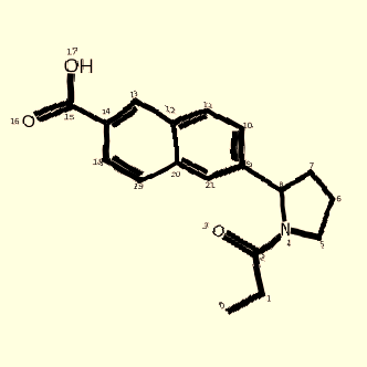 CCC(=O)N1CCCC1c1ccc2cc(C(=O)O)ccc2c1